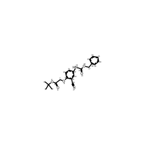 CC(C)(C)OC(=O)COc1ccc(NC(=O)OCc2ccccc2)cc1C#N